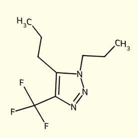 CCCc1c(C(F)(F)F)nnn1CCC